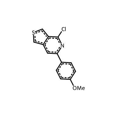 COc1ccc(-c2cc3cscc3c(Cl)n2)cc1